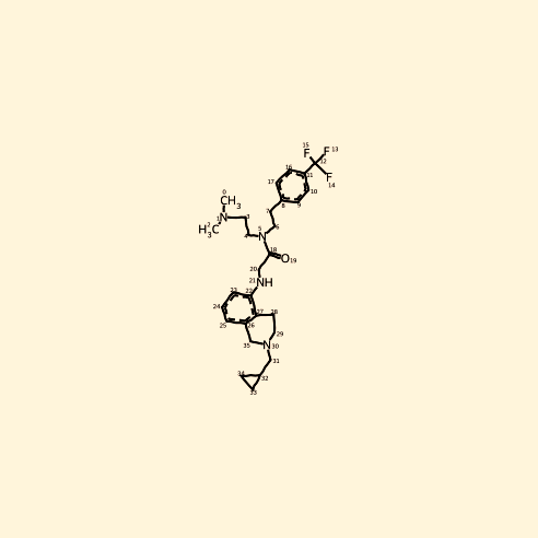 CN(C)CCN(CCc1ccc(C(F)(F)F)cc1)C(=O)CNc1cccc2c1CCN(CC1CC1)C2